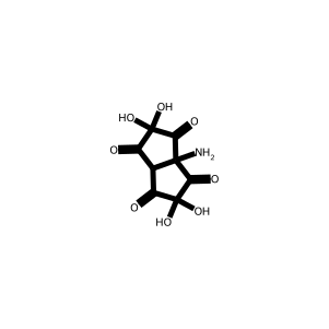 NC12C(=O)C(O)(O)C(=O)C1C(=O)C(O)(O)C2=O